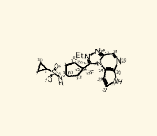 CC[C@H]1C[C@@H](NS(=O)(=O)C2CC2)C[C@]1(F)c1nnc2cnc3[nH]ccc3n12